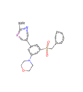 CNc1ncc(-c2cc(N3CCOCC3)cc(S(=O)(=O)Cc3ccccc3)c2)cp1